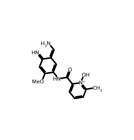 COC1=CC(=N)/C(=C\N)C=C1NC(=O)c1cccc(C)[n+]1O